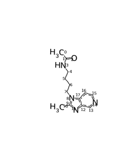 CC(=O)NCCCCn1c(C)nc2cnccc21